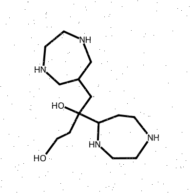 OCCC(O)([CH]C1CNCCNC1)C1CCNCCN1